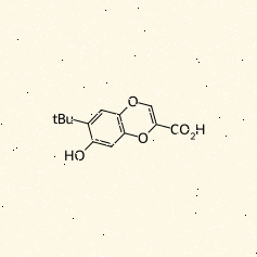 CC(C)(C)c1cc2c(cc1O)OC(C(=O)O)=CO2